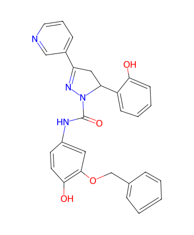 O=C(Nc1ccc(O)c(OCc2ccccc2)c1)N1N=C(c2cccnc2)CC1c1ccccc1O